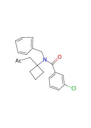 CC(=O)CC1(N(Cc2ccccc2)C(=O)c2cccc(Cl)c2)CCC1